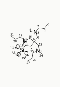 CCCN(C)CC(CC[Si](OC)(OC)OC)(CN(C)CCC)CN(C)CCC